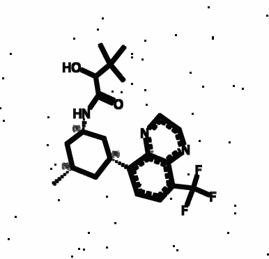 C[C@@H]1C[C@H](NC(=O)C(O)C(C)(C)C)C[C@H](c2ccc(C(F)(F)F)c3nccnc23)C1